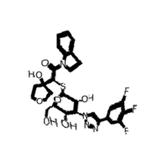 O=C([C@@H](S[C@@H]1O[C@H](CO)[C@H](O)[C@H](n2cc(-c3cc(F)c(F)c(F)c3)nn2)[C@H]1O)C1(O)CCOCC1)N1CCc2ccccc21